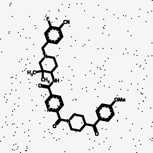 COc1ccc(C(=O)C2CCN(C(=O)c3ccc(C(=O)NC4CCN(Cc5ccc(C#N)c(F)c5)CC4(C)C)cn3)CC2)cc1